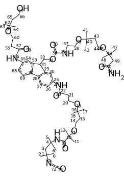 CC(C)(CC(C)(C)NC(=O)C(C)(C)OCCC(C)(C)OCCC(=O)Nc1ccc2c(c1)C(COC(=O)NCCOC(C)(C)CCOC(C)(C)CC(N)=O)c1cc(NC(=O)CCOC(C)(C)CCO)ccc1-2)N=C=O